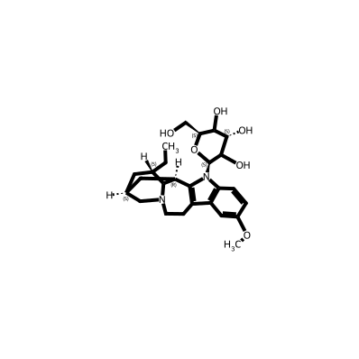 CC[C@H]1C[C@H]2C[C@H]3c4c(c5cc(OC)ccc5n4[C@H]4O[C@@H](CO)C(O)[C@H](O)C4O)CCN(C2)C13